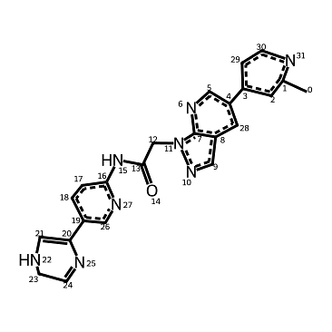 Cc1cc(-c2cnc3c(cnn3CC(=O)Nc3ccc(C4=CNCC=N4)cn3)c2)ccn1